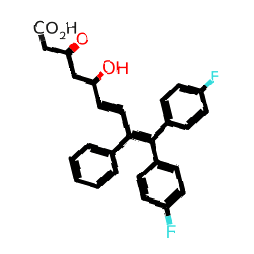 O=C(O)CC(=O)CC(O)/C=C/C(=C(c1ccc(F)cc1)c1ccc(F)cc1)c1ccccc1